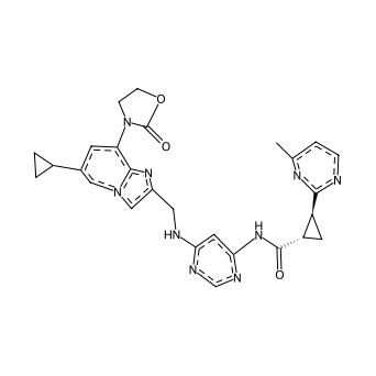 Cc1ccnc([C@H]2C[C@@H]2C(=O)Nc2cc(NCc3cn4cc(C5CC5)cc(N5CCOC5=O)c4n3)ncn2)n1